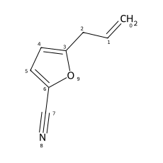 C=CCc1ccc(C#N)o1